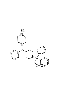 CC(C)(C)N1CCN(C(c2ccccc2)C2CCN(C(CC=O)(c3ccccc3)c3ccccc3)CC2)CC1